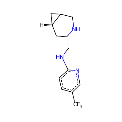 FC(F)(F)c1ccc(NC[C@@H]2C[C@@H]3CC3CN2)nc1